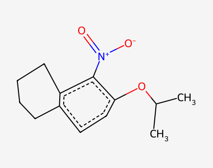 CC(C)Oc1ccc2c(c1[N+](=O)[O-])CCCC2